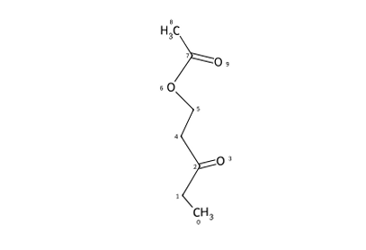 CCC(=O)CCOC(C)=O